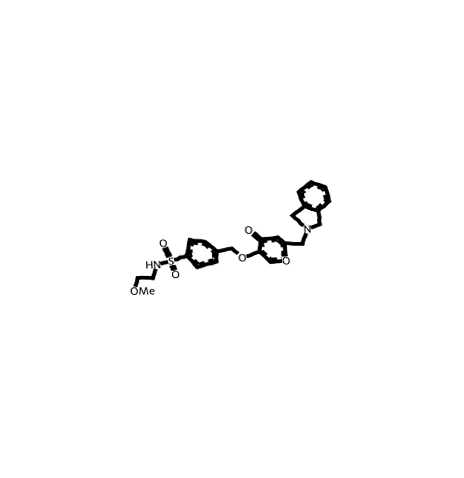 COCCNS(=O)(=O)c1ccc(COc2coc(CN3Cc4ccccc4C3)cc2=O)cc1